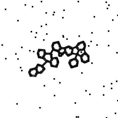 c1ccc(C2(c3ccccc3)c3ccccc3-c3cc4c(cc32)oc2c(-c3c5ccccc5c(-c5ccc6ccccc6c5)c5ccccc35)cccc24)cc1